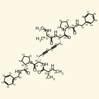 CN[C@@H](C)C(=O)N[C@@H](CC#CC#CC[C@H](NC(=O)[C@H](C)NC)C(=O)N1CCC[C@H]1C(=O)NCc1ccccc1)C(=O)N1CCC[C@H]1C(=O)NCc1ccccc1